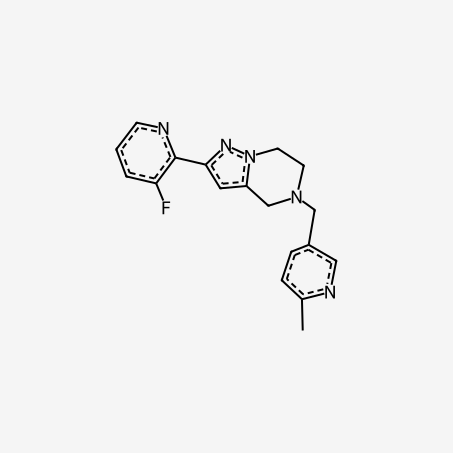 Cc1ccc(CN2CCn3nc(-c4ncccc4F)cc3C2)cn1